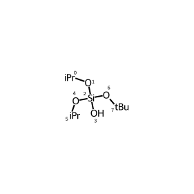 CC(C)O[Si](O)(OC(C)C)OC(C)(C)C